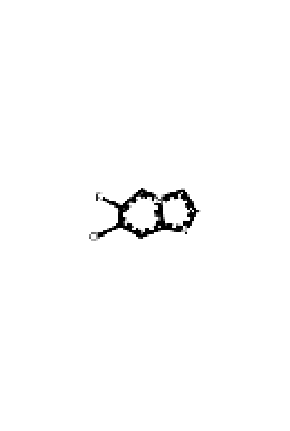 Fc1cn2c[c]nc2cc1Cl